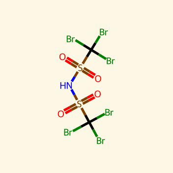 O=S(=O)(NS(=O)(=O)C(Br)(Br)Br)C(Br)(Br)Br